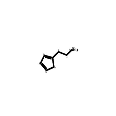 CCC(C)CCC1=CC=CC1